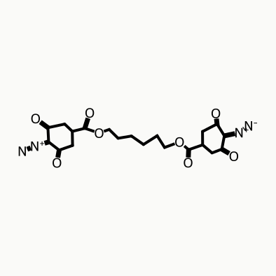 [N-]=[N+]=C1C(=O)CC(C(=O)OCCCCCCOC(=O)C2CC(=O)C(=[N+]=[N-])C(=O)C2)CC1=O